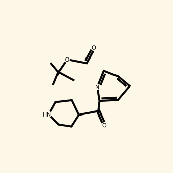 CC(C)(C)OC=O.O=C(c1ccccn1)C1CCNCC1